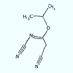 CC(C)OC(CC#N)=NC#N